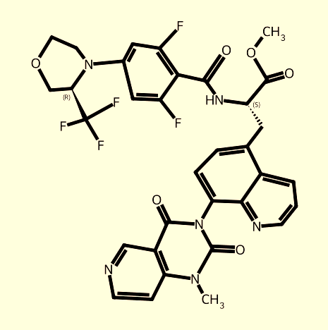 COC(=O)[C@H](Cc1ccc(-n2c(=O)c3cnccc3n(C)c2=O)c2ncccc12)NC(=O)c1c(F)cc(N2CCOC[C@@H]2C(F)(F)F)cc1F